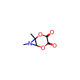 CN1C2OC(=O)C(=O)OC21C